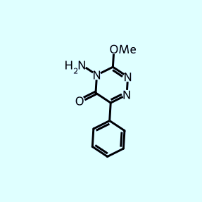 COc1nnc(-c2ccccc2)c(=O)n1N